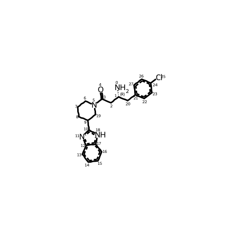 N[C@@H](CC(=O)N1CCCC(c2nc3ccccc3[nH]2)C1)Cc1ccc(Cl)cc1